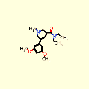 CCN(CC)C(=O)C1C=C(c2cc(OC)cc(OC)c2)CN(C)C1